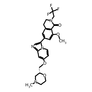 COc1cc(-c2cnc3cc(OC[C@H]4CN(C)CCO4)ccn23)cc2c1C(=O)N(CC(F)(F)F)CC2